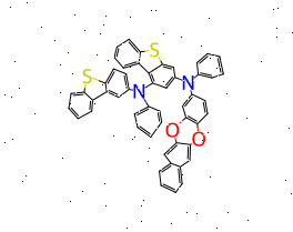 c1ccc(N(c2ccc3c(c2)Oc2cc4ccccc4cc2O3)c2cc(N(c3ccccc3)c3ccc4sc5ccccc5c4c3)c3c(c2)sc2ccccc23)cc1